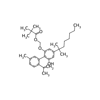 C=C(C)c1ccc(C)cc1-c1c(O)cc(C(C)(C)CCCCCC)cc1OCOC(=O)C(C)(C)C